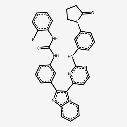 O=C(Nc1cccc(-c2nc3ccccn3c2-c2ccnc(Nc3cccc(N4CCCC4=O)c3)n2)c1)Nc1ccccc1F